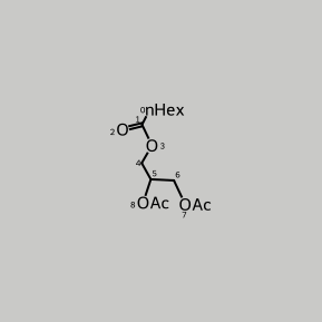 CCCCCCC(=O)OCC(COC(C)=O)OC(C)=O